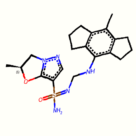 Cc1c2c(c(NCN=S(N)(=O)c3cnn4c3O[C@@H](C)C4)c3c1CCC3)CCC2